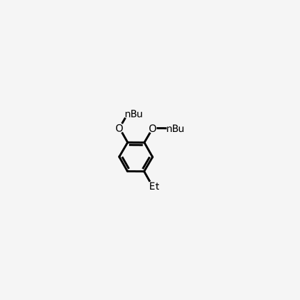 [CH2]Cc1ccc(OCCCC)c(OCCCC)c1